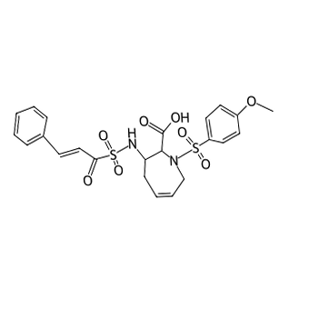 COc1ccc(S(=O)(=O)N2CC=CCC(NS(=O)(=O)C(=O)C=Cc3ccccc3)C2C(=O)O)cc1